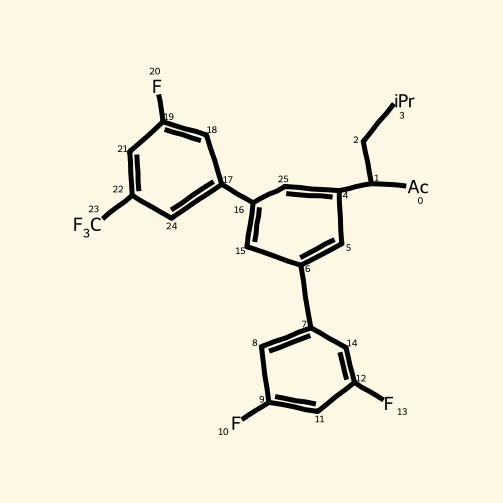 CC(=O)C(CC(C)C)c1cc(-c2cc(F)cc(F)c2)cc(-c2cc(F)cc(C(F)(F)F)c2)c1